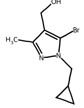 Cc1nn(CC2CC2)c(Br)c1CO